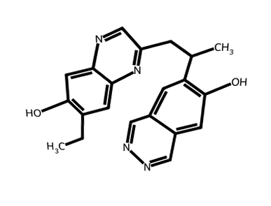 CCc1cc2nc(CC(C)c3cc4cnncc4cc3O)cnc2cc1O